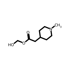 CN1CCC(CC(=O)OCO)CC1